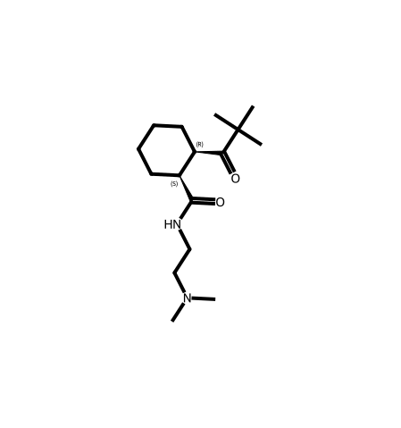 CN(C)CCNC(=O)[C@H]1CCCC[C@H]1C(=O)C(C)(C)C